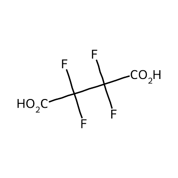 O=C(O)C(F)(F)C(F)(F)C(=O)O